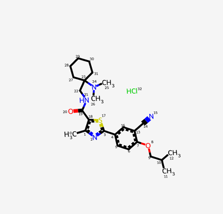 Cc1nc(-c2ccc(OCC(C)C)c(C#N)c2)sc1C(=O)NCC1(N(C)C)CCCCC1.Cl